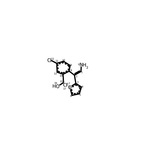 N/C=C(/c1ccco1)c1ccc(Cl)cc1C(O)C(F)(F)F